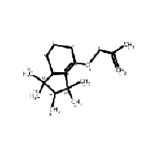 C=C(C)COC1=C2C(CCC1)C(C)(C)C(C)C2(C)C